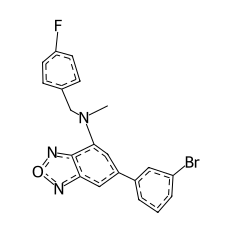 CN(Cc1ccc(F)cc1)c1cc(-c2cccc(Br)c2)cc2nonc12